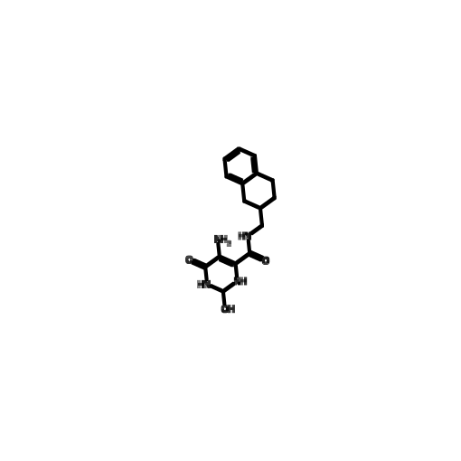 NC1=C(C(=O)NCC2CCc3ccccc3C2)NC(O)NC1=O